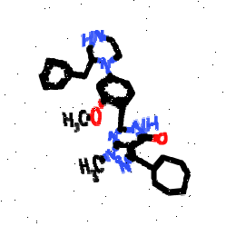 COc1cc(N2CCNCC2Cc2ccccc2)ccc1-c1nc2c(c(C3CCCCCC3)nn2C)c(=O)[nH]1